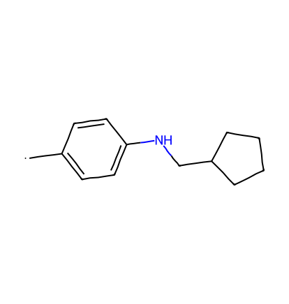 [CH2]c1ccc(NCC2CCCC2)cc1